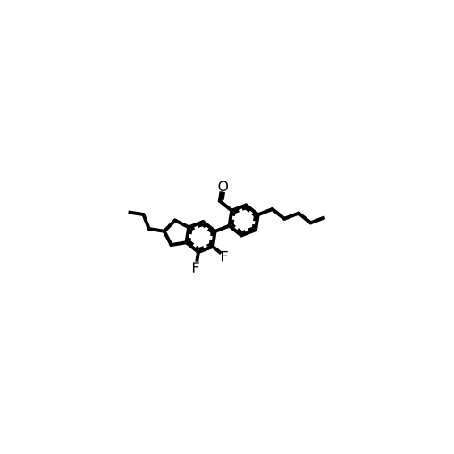 CCCCCc1ccc(-c2cc3c(c(F)c2F)CC(CCC)C3)c(C=O)c1